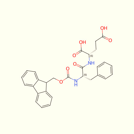 O=C(O)CC[C@H](NC(=O)[C@H](Cc1ccccc1)NC(=O)OCC1c2ccccc2-c2ccccc21)C(=O)O